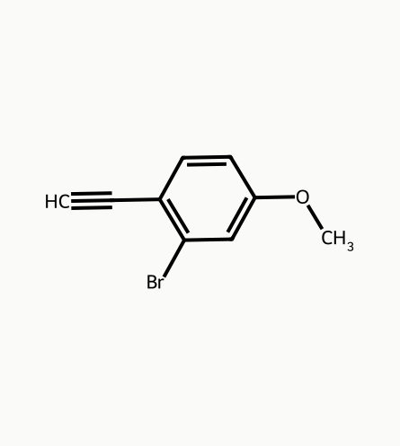 C#Cc1ccc(OC)cc1Br